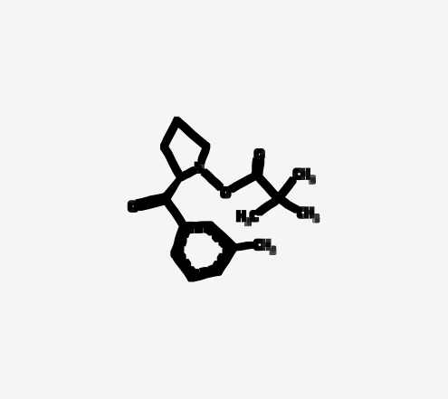 Cc1cccc(C(=O)[C@H]2CCCN2OC(=O)C(C)(C)C)c1